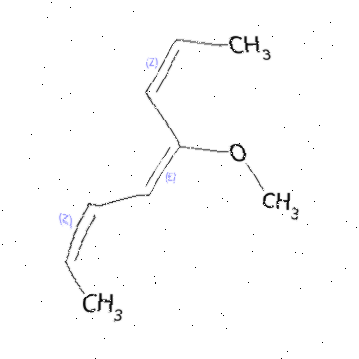 C\C=C/C=C(\C=C/C)OC